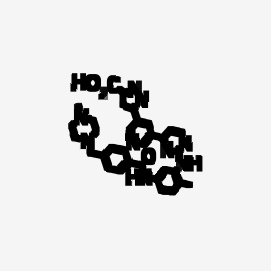 Cc1ccc(NC(=O)c2ccc(CN3CCN(C)CC3)cc2)cc1Nc1nccc(-c2cncc(C3=NN=C(C(=O)O)C3)c2)n1